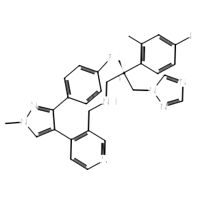 Cn1cc(-c2ccncc2CNC[C@@](O)(Cn2cncn2)c2ccc(F)cc2F)c(-c2ccc(F)cc2)n1